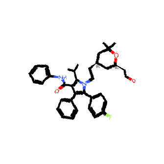 CC(C)c1c(C(=O)Nc2ccccc2)c(-c2ccccc2)c(-c2ccc(F)cc2)n1CC[C@@H]1C[C@H](CC=O)OC(C)(C)C1